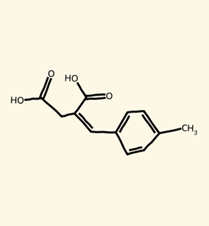 Cc1ccc(C=C(CC(=O)O)C(=O)O)cc1